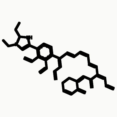 C=C/C=C(/C=C/C=C\C=C\C(=C\C=C)c1ccc(C2=CN(CC)C(CC)N2)c(C=C)c1C=C)C(=C)/C=C1/CCC=CC1=C